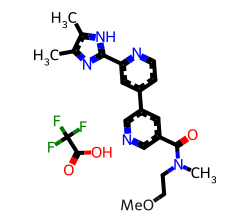 COCCN(C)C(=O)c1cncc(-c2ccnc(-c3nc(C)c(C)[nH]3)c2)c1.O=C(O)C(F)(F)F